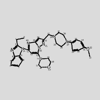 CCc1nc2ccccc2n1-c1cc(N2CCOCC2)n2nc(CN3CCN(c4ccc(OC)cc4)CC3)cc2n1